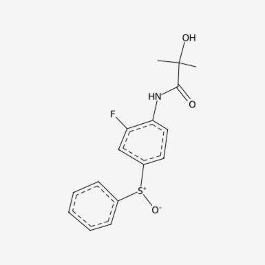 CC(C)(O)C(=O)Nc1ccc([S+]([O-])c2ccccc2)cc1F